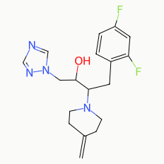 C=C1CCN(C(Cc2ccc(F)cc2F)C(O)Cn2cncn2)CC1